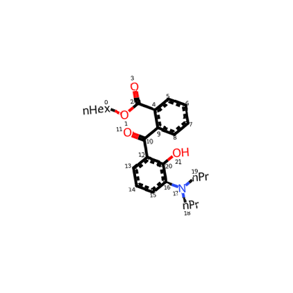 CCCCCCOC(=O)c1ccccc1C(=O)c1cccc(N(CCC)CCC)c1O